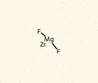 [F][Mg][F].[Zr]